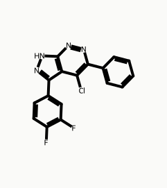 Fc1ccc(-c2n[nH]c3nnc(-c4ccccc4)c(Cl)c23)cc1F